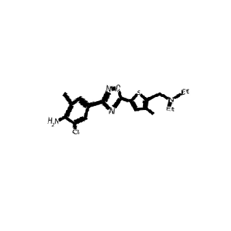 CCN(CC)Cc1sc(-c2nc(-c3cc(C)c(N)c(Cl)c3)no2)cc1C